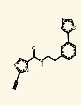 C#Cc1nc(C(=O)NCCc2cccc(-c3cncs3)c2)cs1